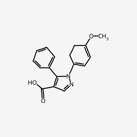 COC1=CC=C(n2ncc(C(=O)O)c2-c2ccccc2)CC1